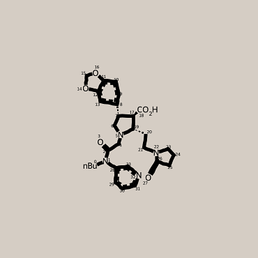 CCCCN(C(=O)CN1C[C@H](c2ccc3c(c2)OCO3)[C@@H](C(=O)O)[C@@H]1CCN1CCCC1=O)c1cccnc1